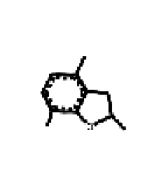 Cc1ccc(C)c2c1CC(C)O2